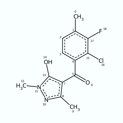 Cc1ccc(C(=O)c2c(C)nn(C)c2O)c(Cl)c1F